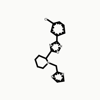 Clc1cccc(-c2noc(C3CCCCN3Cc3nccs3)n2)c1